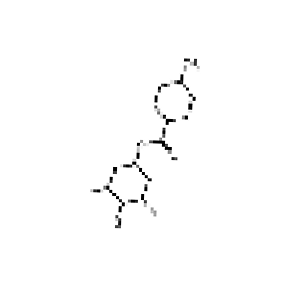 CC1CCC(C(=O)OC2CC(F)C(Cl)C(F)C2)CC1